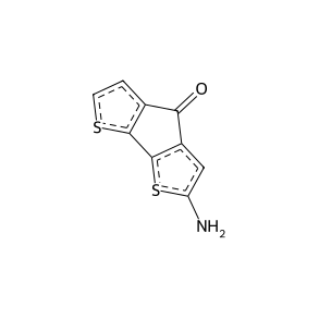 Nc1cc2c(s1)-c1sccc1C2=O